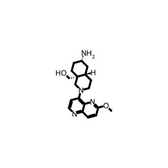 COc1ccc2nccc(N3CC[C@H]4C[C@@H](N)CC[C@]4(CO)C3)c2n1